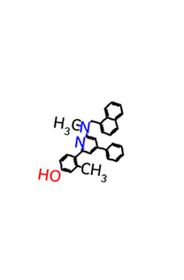 Cc1cc(O)ccc1-c1cc(-c2ccccc2)cc(N(C)Cc2cccc3ccccc23)n1